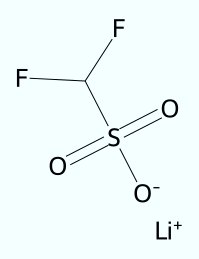 O=S(=O)([O-])C(F)F.[Li+]